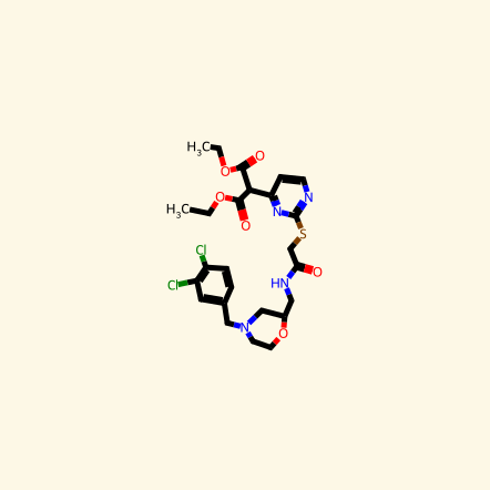 CCOC(=O)C(C(=O)OCC)c1ccnc(SCC(=O)NCC2CN(Cc3ccc(Cl)c(Cl)c3)CCO2)n1